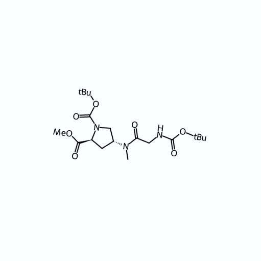 COC(=O)[C@@H]1C[C@@H](N(C)C(=O)CNC(=O)OC(C)(C)C)CN1C(=O)OC(C)(C)C